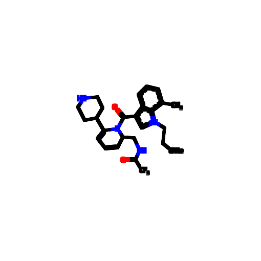 COCCn1cc(C(=O)N2C(C3CCNCC3)=CC=CC2CNC(=O)C(F)(F)F)c2cccc(C)c21